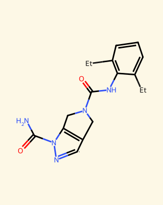 CCc1cccc(CC)c1NC(=O)N1Cc2[c]nn(C(N)=O)c2C1